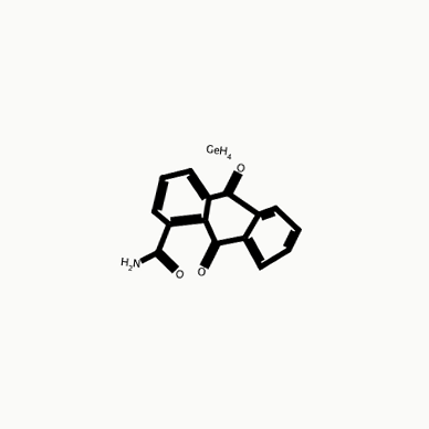 NC(=O)c1cccc2c1C(=O)c1ccccc1C2=O.[GeH4]